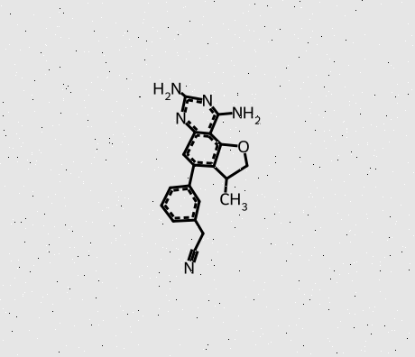 CC1COc2c1c(-c1cccc(CC#N)c1)cc1nc(N)nc(N)c21